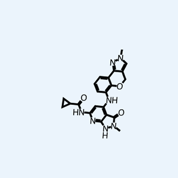 Cn1cc2c(n1)-c1cccc(Nc3cc(NC(=O)C4CC4)nc4[nH]n(C)c(=O)c34)c1OC2